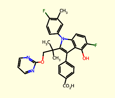 Cc1cc(-n2c(C(C)(C)COc3ncccn3)c(-c3ccc(C(=O)O)cc3)c3c(O)c(F)ccc32)ccc1F